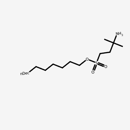 CCCCCCCCCCCCCCCCOS(=O)(=O)CCC(C)(C)N